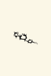 O=[N+]([O-])c1ccc(Oc2ccnc(-n3cncn3)c2)cn1